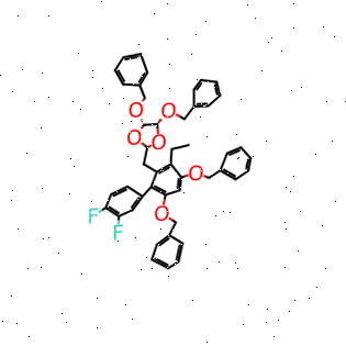 CCc1c(OCc2ccccc2)cc(OCc2ccccc2)c(-c2ccc(F)c(F)c2)c1CC1O[C@H](OCc2ccccc2)[C@@H](OCc2ccccc2)O1